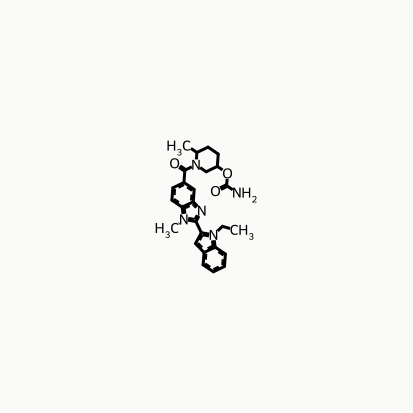 CCn1c(-c2nc3cc(C(=O)N4CC(OC(N)=O)CCC4C)ccc3n2C)cc2ccccc21